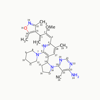 C=C(/C(=C\c1nc(N2CCCCC2)c(C2CCCN2c2ncnc(N)c2C#N)cc1C)OC)c1c(C)noc1C